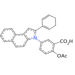 CC(=O)Oc1ccc(-n2c(C3=CCCC=C3)cc3c4ccccc4ccc32)cc1C(=O)O